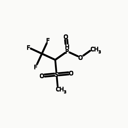 CO[PH](=O)C(C(F)(F)F)S(C)(=O)=O